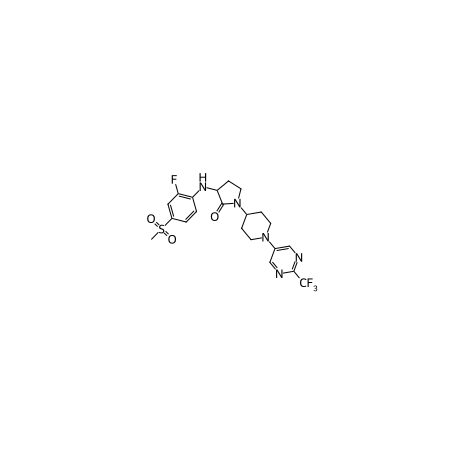 CS(=O)(=O)c1ccc(NC2CCN(C3CCN(c4cnc(C(F)(F)F)nc4)CC3)C2=O)c(F)c1